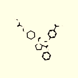 COC(=O)c1ccc(OC[C@]2(C(N)=O)[C@H](c3ccccc3)CCN2C(=O)[C@H]2CC[C@H](CNC(=O)OC(C)(C)C)CC2)cc1